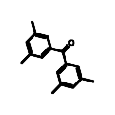 Cc1cc(C)cc(C(=O)c2cc(C)cc(C)c2)c1